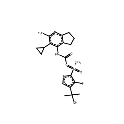 CC(C)(O)c1csc([S@](N)(=O)=NC(=O)Nc2c3c(nc(C(F)(F)F)c2C2CC2)CCC3)c1F